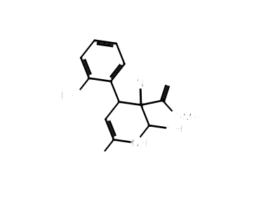 COC(=O)C1([N+](=O)[O-])C(C)NC(C)=CC1c1ccccc1C(F)(F)F